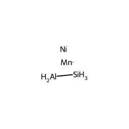 [AlH2][SiH3].[Mn].[Ni]